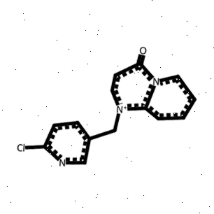 O=c1cc[n+](Cc2ccc(Cl)nc2)c2ccccn12